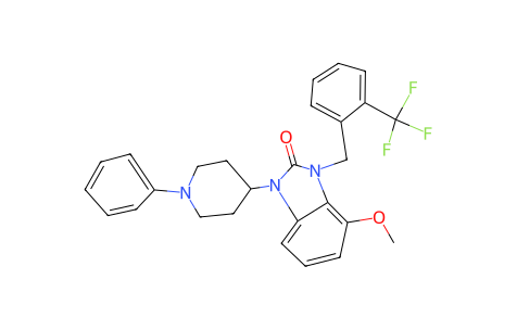 COc1cccc2c1n(Cc1ccccc1C(F)(F)F)c(=O)n2C1CCN(c2ccccc2)CC1